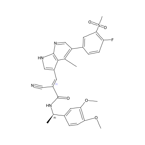 COc1ccc([C@@H](C)NC(=O)/C(C#N)=C/c2c[nH]c3ncc(-c4ccc(F)c(S(C)(=O)=O)c4)c(C)c23)cc1OC